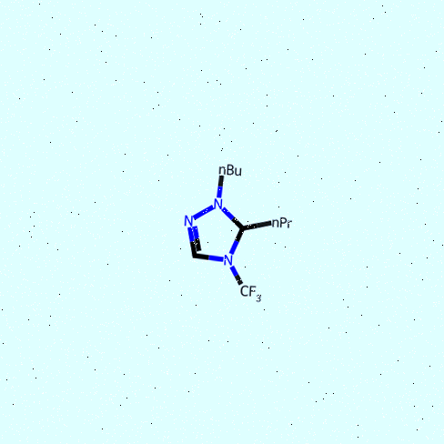 CCCCN1N=CN(C(F)(F)F)C1CCC